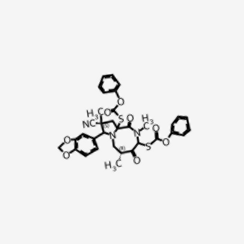 C[C@@H]1CN2C(c3ccc4c(c3)OCO4)[C@@](C)(C#N)CC2(SC(=O)Oc2ccccc2)C(=O)N(C)C(SC(=O)Oc2ccccc2)C1=O